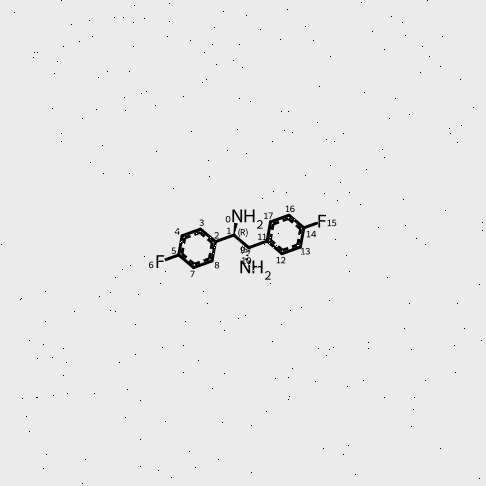 N[C@H](c1ccc(F)cc1)[C@@H](N)c1ccc(F)cc1